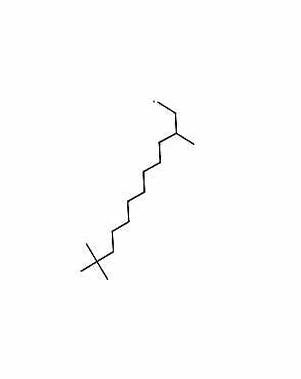 [CH2]CC(C)CCCCCCCCC(C)(C)C